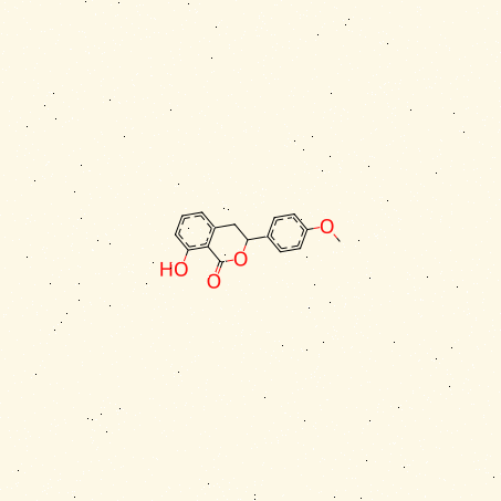 COc1ccc(C2Cc3cccc(O)c3C(=O)O2)cc1